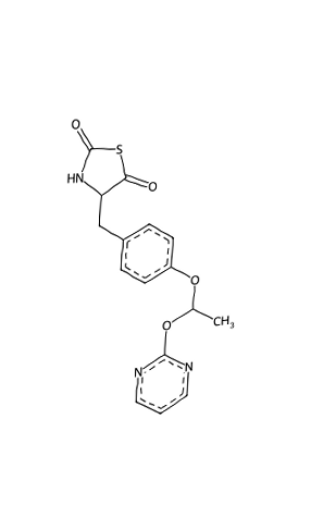 CC(Oc1ccc(CC2NC(=O)SC2=O)cc1)Oc1ncccn1